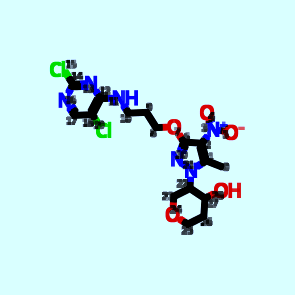 Cc1c([N+](=O)[O-])c(OCCCNc2nc(Cl)ncc2Cl)nn1C1COCCC1O